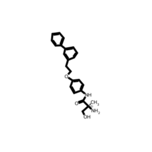 C[C@](N)(CO)C(=O)Nc1ccc(OCCc2cccc(-c3ccccc3)c2)cc1